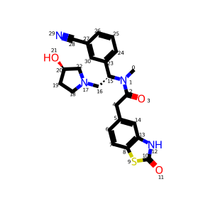 CN(C(=O)Cc1ccc2sc(=O)[nH]c2c1)[C@H](CN1CC[C@@H](O)C1)c1cccc(C#N)c1